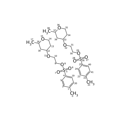 Cc1ccc(S(=O)(=O)OCCOC2CCOC(C)C2)cc1.Cc1ccc(S(=O)(=O)OCCOC2CCOC(C)C2)cc1